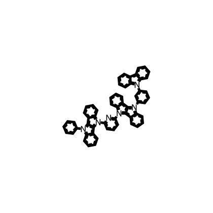 c1ccc(-n2c3ccccc3c3c2c2ccccc2n3-c2cccc(-n3c4ccccc4c4c3c3ccccc3n4-c3cccc(-n4c5ccccc5c5ccccc54)c3)n2)cc1